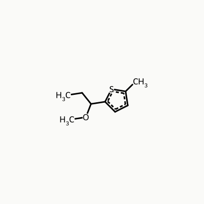 CCC(OC)c1ccc(C)s1